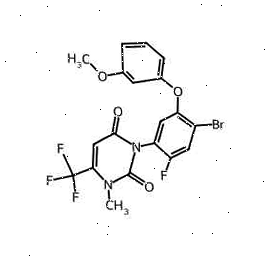 COc1cccc(Oc2cc(-n3c(=O)cc(C(F)(F)F)n(C)c3=O)c(F)cc2Br)c1